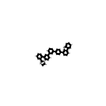 c1cc(-c2ccc(-c3cccc4c3sc3ccccc34)cc2)cc(-c2ccc3c(c2)c2ccccc2c2nccn32)c1